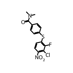 CN(C)C(=O)c1ccc(Sc2ccc([N+](=O)[O-])c(Cl)c2F)cc1